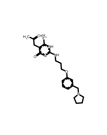 C=C(C)Cc1c(C)[nH]c(NCCCOc2cccc(CN3CCCC3)c2)nc1=O